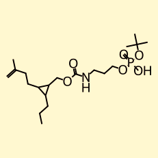 C=C(C)CCC1C(CCC)C1COC(=O)NCCCOP(=O)(O)OC(C)(C)C